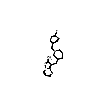 Cc1nn2cccnc2c1CC1CCCN(Cc2ccc(Cl)cc2)C1